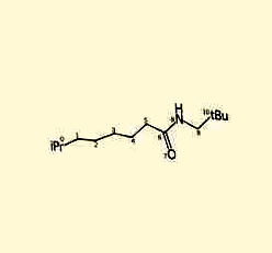 CC(C)CCCCCC(=O)NCC(C)(C)C